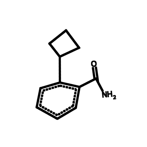 NC(=O)c1ccccc1C1CCC1